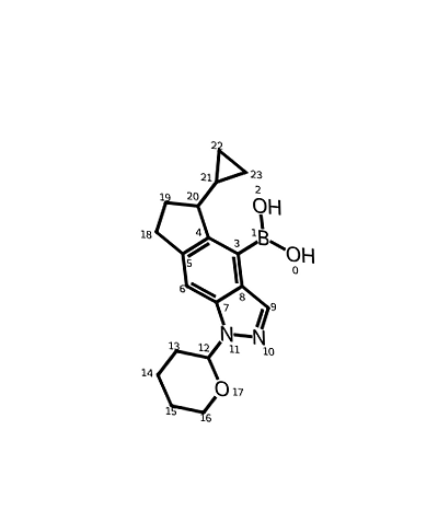 OB(O)c1c2c(cc3c1cnn3C1CCCCO1)CCC2C1CC1